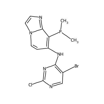 CP(C)c1c(Nc2nc(Cl)ncc2Br)ccn2ccnc12